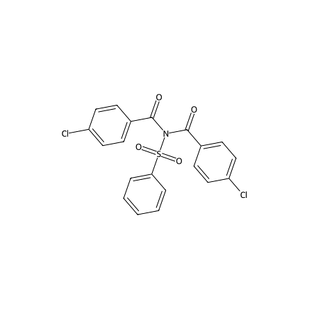 O=C(c1ccc(Cl)cc1)N(C(=O)c1ccc(Cl)cc1)S(=O)(=O)c1ccccc1